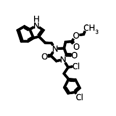 CCOC(=O)CC1C(=O)N(C(Cl)Cc2ccc(Cl)cc2)CC(=O)N1CCc1c[nH]c2ccccc12